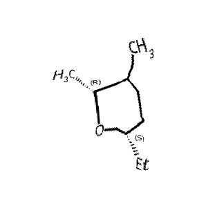 CC[C@H]1CC(C)[C@@H](C)O1